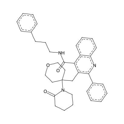 O=C(NCCCc1ccccc1)c1c(CC2(N3CCCCC3=O)CCOCC2)c(-c2ccccc2)nc2ccccc12